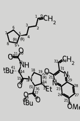 C=CCCC[C@@H]1CCC[C@H]1OC(=O)N[C@H](C(=O)N1C[C@H](Oc2nc3cc(OC)ccc3nc2C=C)[C@@H](CC)[C@H]1C(=O)OC(C)(C)C)C(C)(C)C